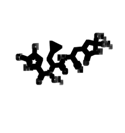 CN(C(=O)c1cc(Cl)c(Cl)[nH]1)C(CC1CC1)C(=O)NC(C#N)CC1CC(C)(C)NC1=O